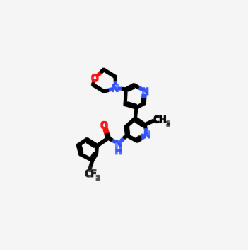 Cc1ncc(NC(=O)c2cccc(C(F)(F)F)c2)cc1-c1cncc(N2CCOCC2)c1